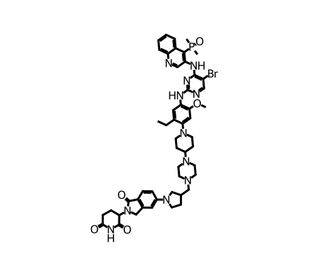 CCc1cc(Nc2ncc(Br)c(Nc3cnc4ccccc4c3P(C)(C)=O)n2)c(OC)cc1N1CCC(N2CCN(CC3CCN(c4ccc5c(c4)CN(C4CCC(=O)NC4=O)C5=O)C3)CC2)CC1